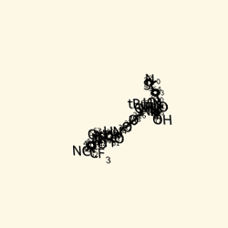 Cc1ncsc1-c1ccc(CNC(=O)[C@@H]2C[C@@H](O)CN2C(=O)[C@@H](NC(=O)CCCOCCOCCNC(=O)c2ccc(N3C(=O)N(c4ccc(C#N)c(C(F)(F)F)c4)C(=O)C3(C)C)cc2F)C(C)(C)C)cc1